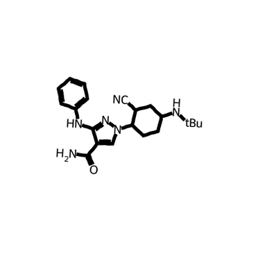 CC(C)(C)NC1CCC(n2cc(C(N)=O)c(Nc3ccccc3)n2)C(C#N)C1